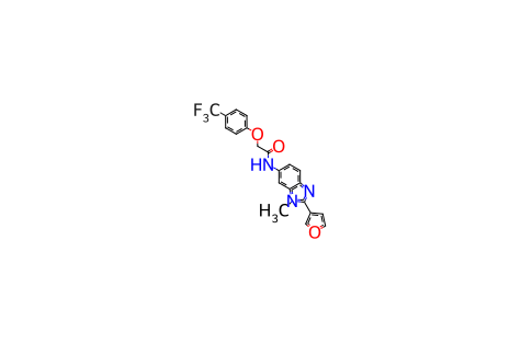 Cn1c(-c2ccoc2)nc2ccc(NC(=O)COc3ccc(C(F)(F)F)cc3)cc21